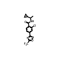 CC(NC(=O)c1ccc(-c2noc(C(F)(F)F)n2)cc1Cl)C1CC1